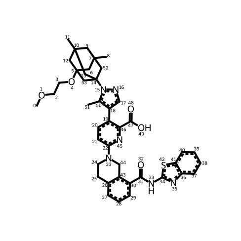 COCCOC12CC3(C)CC(C)(C1)CC(n1ncc(-c4ccc(N5CCc6cccc(C(=O)Nc7nc8ccccc8s7)c6C5)nc4C(=O)O)c1C)(C3)C2